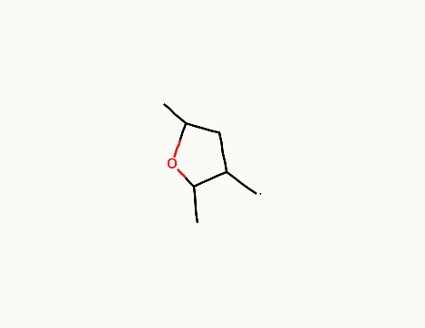 [CH2]C1CC(C)OC1C